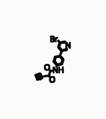 O=C(Nc1ccc(-c2cncc(Br)c2)cc1)C(=O)N1C=C2CC1C2